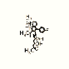 CC(=O)C[C@H](O)C[C@H](O)/C=C/c1c(C(C)C)nc2c(c1-c1ccc(F)cc1)CCCN2C(C)=O